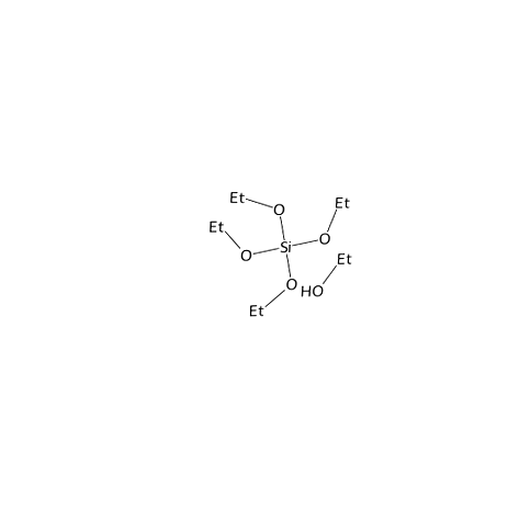 CCO.CCO[Si](OCC)(OCC)OCC